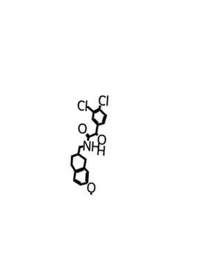 COc1ccc2c(c1)CC(CNC(=O)C(O)c1ccc(Cl)c(Cl)c1)CC2